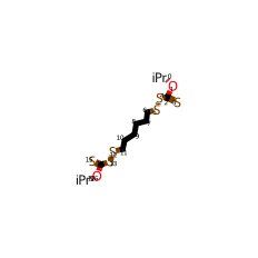 CC(C)OC(=S)SSCCCCCCSSC(=S)OC(C)C